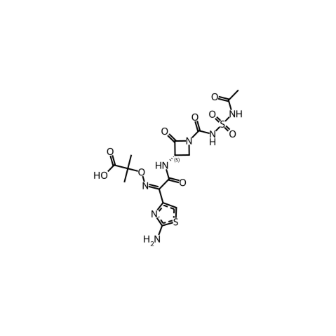 CC(=O)NS(=O)(=O)NC(=O)N1C[C@H](NC(=O)C(=NOC(C)(C)C(=O)O)c2csc(N)n2)C1=O